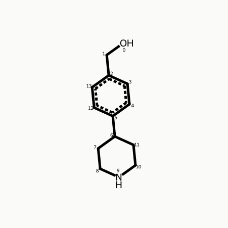 OCc1ccc(C2CCNCC2)cc1